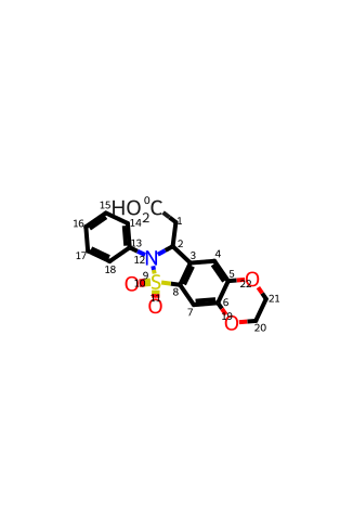 O=C(O)CC1c2cc3c(cc2S(=O)(=O)N1c1ccccc1)OCCO3